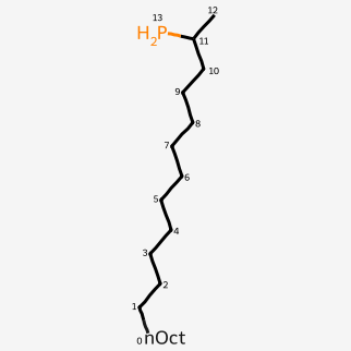 CCCCCCCCCCCCCCCCCCC(C)P